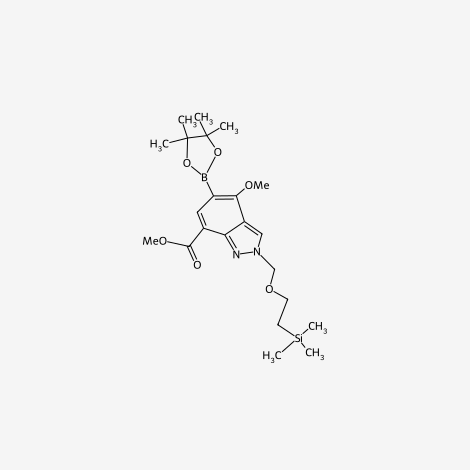 COC(=O)c1cc(B2OC(C)(C)C(C)(C)O2)c(OC)c2cn(COCC[Si](C)(C)C)nc12